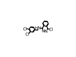 Clc1ccc(CNc2nnc(Cl)c3ccccc23)cc1Cl